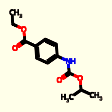 CCOC(=O)c1ccc(NC(=O)OC(C)C)cc1